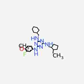 CCC1CCCC1CNc1nc(NCC2CCCCC2)nc(Nc2ccc(OC)c(F)c2)n1